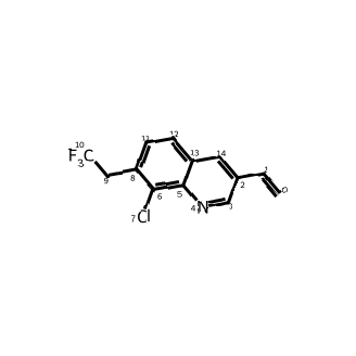 C=Cc1cnc2c(Cl)c(CC(F)(F)F)ccc2c1